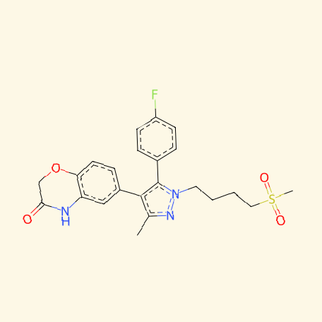 Cc1nn(CCCCS(C)(=O)=O)c(-c2ccc(F)cc2)c1-c1ccc2c(c1)NC(=O)CO2